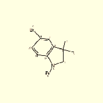 CC(C)N1CC(C)(C)c2cc(Br)ccc21